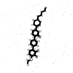 CCCCCC1CC=C(c2ccc(-c3ccc(-c4ccc(OCC)c(F)c4F)cc3)c(F)c2)CC1